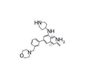 C=C/C=c1/cc(-c2cccc(CN3CCOCC3)c2)cc(NC2CCNCC2)/c1=C/N